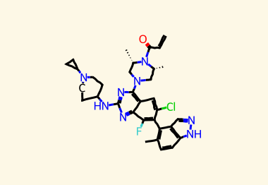 C=CC(=O)N1[C@H](C)CN(c2nc(NC3CCN(C4CC4)CC3)nc3c(F)c(-c4c(C)ccc5[nH]ncc45)c(Cl)cc23)C[C@@H]1C